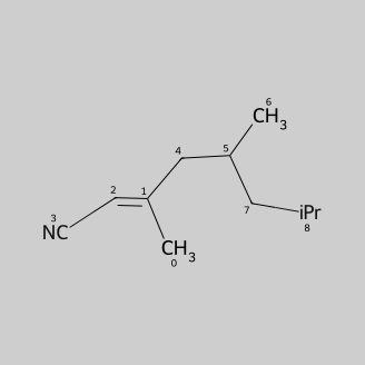 C/C(=C\C#N)CC(C)CC(C)C